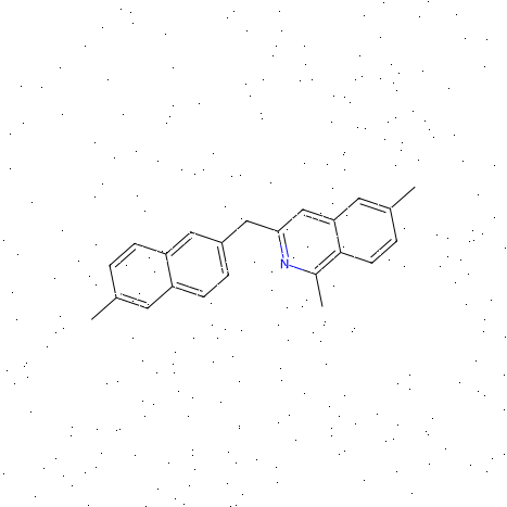 Cc1ccc2cc(Cc3cc4cc(C)ccc4c(C)n3)ccc2c1